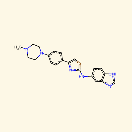 CN1CCN(c2ccc(-c3csc(Nc4ccc5[nH]cnc5c4)n3)cc2)CC1